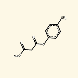 COC(=O)CC(=O)Oc1ccc(N)cc1